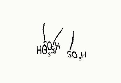 CS(=O)(=O)O.CS(=O)(=O)O.CS(=O)(=O)O